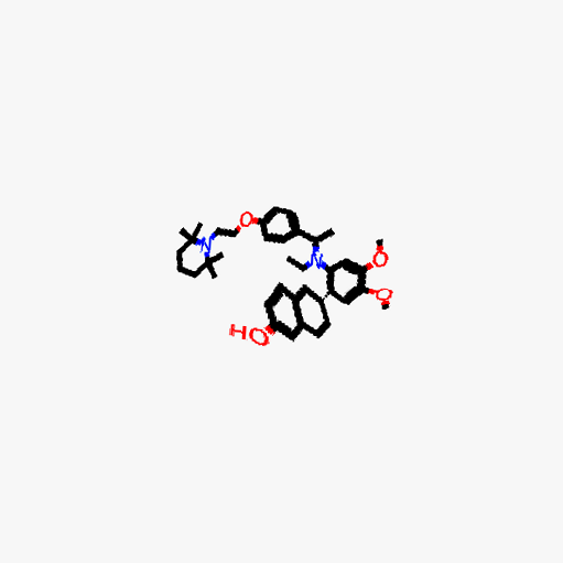 CCN(c1cc(OC)c(OC)cc1[C@@H]1CCc2cc(O)ccc2C1)C(C)c1ccc(OCCN2C(C)(C)CCCC2(C)C)cc1